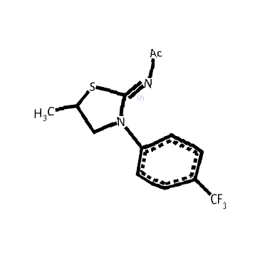 CC(=O)/N=C1\SC(C)CN1c1ccc(C(F)(F)F)cc1